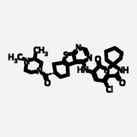 CC1CN(C(=O)[C@H]2CCc3c(sc4ncnc(Nc5cc(Cl)c6n(c5=O)C5(CCCCC5)NC6=O)c34)C2)CCN1C